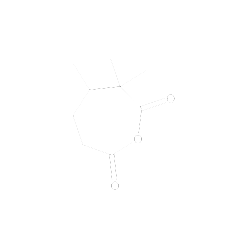 CC1CCC(=O)OC(=O)C1(C)C